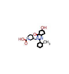 Cc1ccccc1-c1nc2ccc(O)cc2c(=O)n1C[C@H]1CCCN(C(=O)O)C1